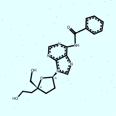 O=C(Nc1ncnc2c1ncn2[C@H]1CC[C@](CO)(CCO)O1)c1ccccc1